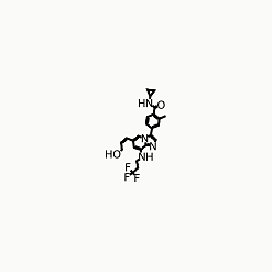 Cc1cc(-c2cnc3c(NCCC(F)(F)F)cc(/C=C\CO)cn23)ccc1C(=O)NC1CC1